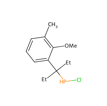 CCC(CC)(PCl)c1cccc(C)c1OC